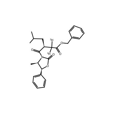 [2H]C([2H])(C(=O)OCc1ccccc1)[C@H](CC(C)C)C(=O)N1C(=O)O[C@@H](c2ccccc2)[C@H]1C